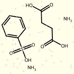 N.N.O=C(O)CCC(=O)O.O=S(=O)(O)c1ccccc1